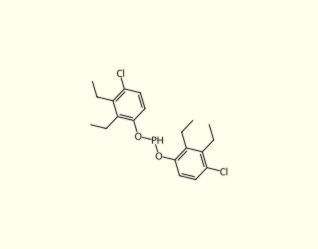 CCc1c(Cl)ccc(OPOc2ccc(Cl)c(CC)c2CC)c1CC